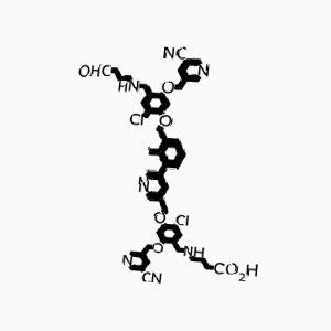 Cc1c(COc2cc(OCc3cncc(C#N)c3)c(CNCCCC=O)cc2Cl)cccc1-c1cncc(COc2cc(OCc3cncc(C#N)c3)c(CNCCCC(=O)O)cc2Cl)c1